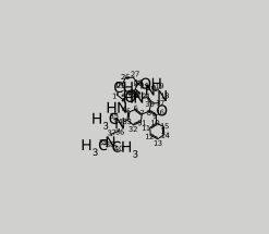 C=CC(=O)Nc1cc(-c2c(-c3ccccc3)oc3ncnc(N[C@@H]4CCCC[C@H]4O)c23)ccc1N(C)CCN(C)C